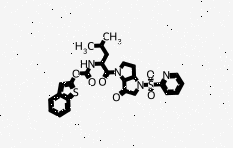 CC(C)CC(NC(=O)Oc1cc2ccccc2s1)C(=O)N1CCC2C1C(=O)CN2S(=O)(=O)c1ccccn1